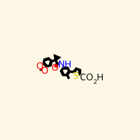 Cc1ccc(NC(=O)C2(c3ccc4c(c3)OCO4)CC2)cc1-c1ccc(C(=O)O)s1